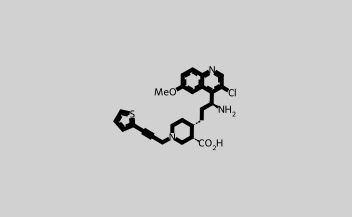 COc1ccc2ncc(Cl)c([C@@H](N)CC[C@H]3CCN(CC#Cc4cccs4)C[C@H]3C(=O)O)c2c1